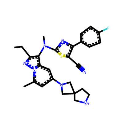 CCc1nn2c(C)cc(N3CC4(CCNC4)C3)cc2c1N(C)c1nc(-c2ccc(F)cc2)c(C#N)s1